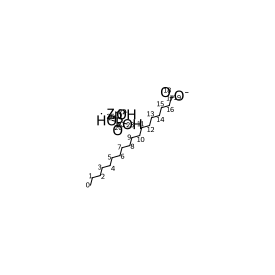 CCCCCCCCCCCCCCCCCC(=O)[O-].O=P(O)(O)O.[Zn+]